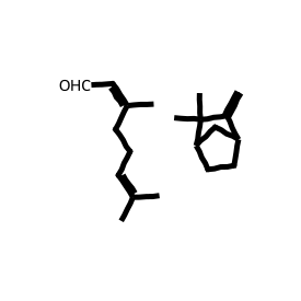 C=C1C2CCC(C2)C1(C)C.CC(C)=CCCC(C)=CC=O